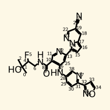 CC(C)(O)C(F)CNC(=O)c1cnc(-c2ccc3cc(C#N)cnn23)cc1Nc1ccc(-c2ccon2)nc1